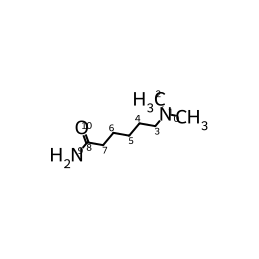 CN(C)CCCCCC(N)=O